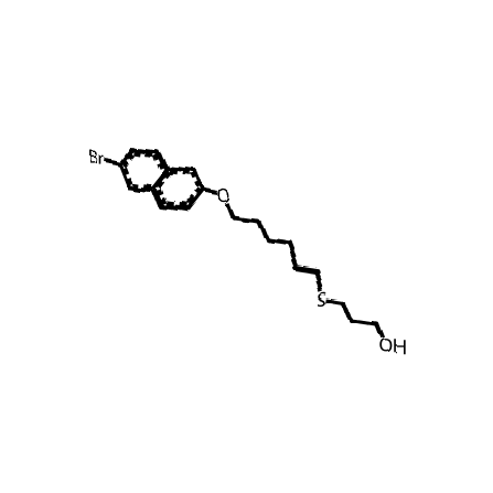 OCCCSCCCCCCOc1ccc2cc(Br)ccc2c1